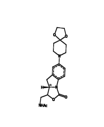 CC(=O)NCC1OC(=O)N2c3ccc(N4CCC5(CC4)OCCO5)cc3C[C@@H]12